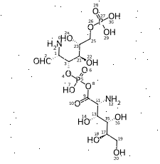 N[C@@H](C=O)[C@@H](OP(=O)(O)OC(=O)[C@H](N)[C@@H](O)[C@H](O)[C@H](O)CO)[C@H](O)[C@H](O)COP(=O)(O)O